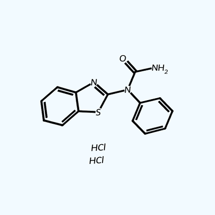 Cl.Cl.NC(=O)N(c1ccccc1)c1nc2ccccc2s1